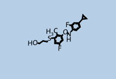 Cc1c(ONc2ccc(C3CC3)cc2F)cc(F)cc1SCCCO